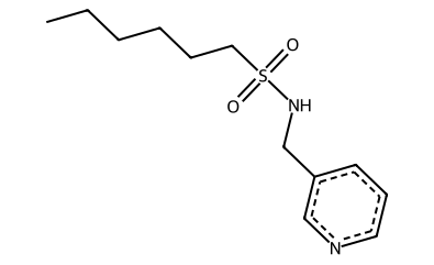 CCCCCCS(=O)(=O)NCc1cccnc1